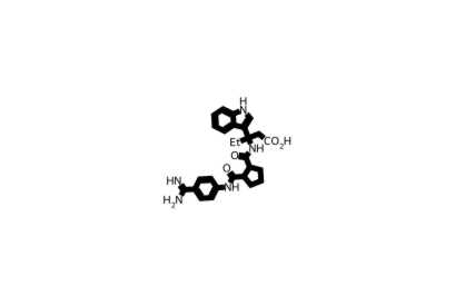 CCC(CC(=O)O)(NC(=O)C1CCCC1C(=O)Nc1ccc(C(=N)N)cc1)c1c[nH]c2ccccc12